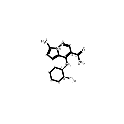 Cc1ccc2c(N[C@@H]3CCCC[C@@H]3C)c(C(N)=O)cnn12